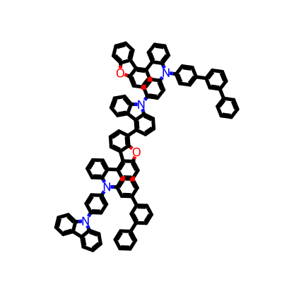 c1ccc(-c2cccc(-c3ccc(N(c4ccc(-n5c6ccccc6c6c(-c7cccc8c7oc7cccc(-c9ccccc9N(c9ccc(-n%10c%11ccccc%11c%11ccccc%11%10)cc9)c9cccc(-c%10cccc(-c%11ccccc%11)c%10)c9)c78)cccc65)cc4)c4ccccc4-c4cccc5oc6ccccc6c45)cc3)c2)cc1